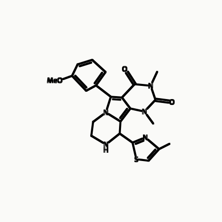 COc1cccc(-c2c3c(=O)n(C)c(=O)n(C)c3c3n2CCNC3c2nc(C)cs2)c1